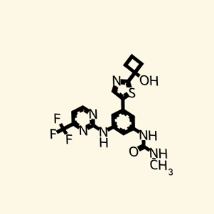 CNC(=O)Nc1cc(Nc2nccc(C(F)(F)F)n2)cc(-c2cnc(C3(O)CCC3)s2)c1